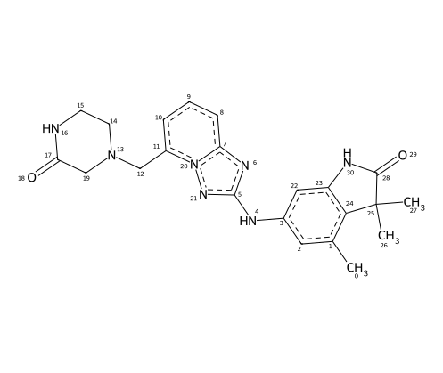 Cc1cc(Nc2nc3cccc(CN4CCNC(=O)C4)n3n2)cc2c1C(C)(C)C(=O)N2